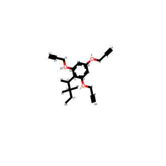 C#CCOc1cc(OCC#C)c(C(C)C(C)(C)CC)c(OCC#C)c1